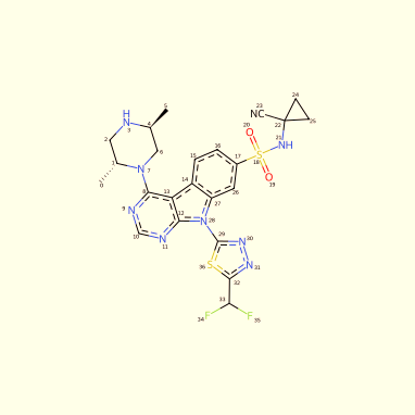 C[C@@H]1CN[C@@H](C)CN1c1ncnc2c1c1ccc(S(=O)(=O)NC3(C#N)CC3)cc1n2-c1nnc(C(F)F)s1